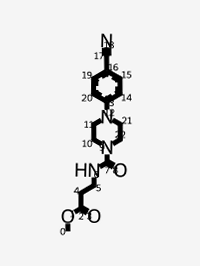 COC(=O)CCNC(=O)N1CCN(c2ccc(C#N)cc2)CC1